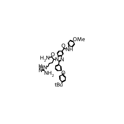 COc1ccc(NC(=O)c2ccc3c(c2)nc(-c2cccc(Oc4ccc(C(C)(C)C)cc4)c2)n3C(CCCNC(=N)N)C(N)=O)cc1